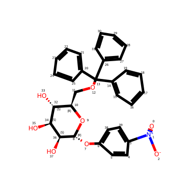 O=[N+]([O-])c1ccc(O[C@H]2O[C@H](COC(c3ccccc3)(c3ccccc3)c3ccccc3)[C@@H](O)[C@H](O)[C@@H]2O)cc1